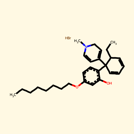 Br.CCCCCCCCOc1ccc(C2(C3=CCN(C)C=C3)C=CC=CC2CC)c(O)c1